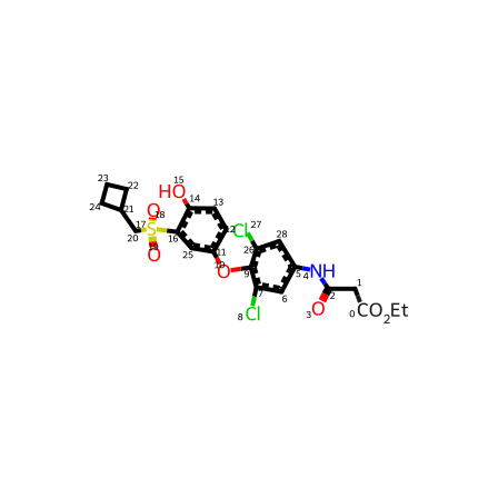 CCOC(=O)CC(=O)Nc1cc(Cl)c(Oc2ccc(O)c(S(=O)(=O)CC3CCC3)c2)c(Cl)c1